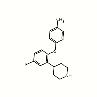 Cc1ccc(Sc2ccc(F)cc2C2CCNCC2)cc1